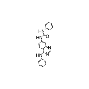 O=C(Nc1ccccc1)Nc1ccc2c(Nc3ccccc3)ncnc2c1